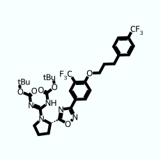 CC(C)(C)OC(=O)/N=C(\NC(=O)OC(C)(C)C)N1CCC[C@H]1c1nc(-c2ccc(OCCCc3ccc(C(F)(F)F)cc3)c(C(F)(F)F)c2)no1